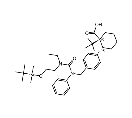 CCN(CCO[Si](C)(C)C(C)(C)C)C(=O)N(Cc1ccc([C@H]2CCCC[C@]2(C(=O)O)C(C)(C)C)cc1)c1ccccc1